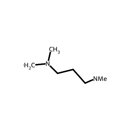 [CH2]N(C)CCCNC